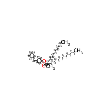 CCCCCCCCCCCCCCC(C)(CCCCCCCCCCCC)C(=O)Oc1ccc(Cc2ccccc2)cc1